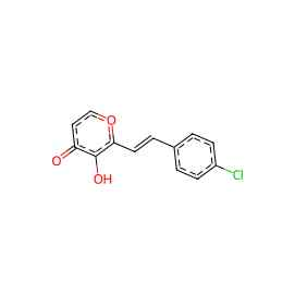 O=c1ccoc(/C=C/c2ccc(Cl)cc2)c1O